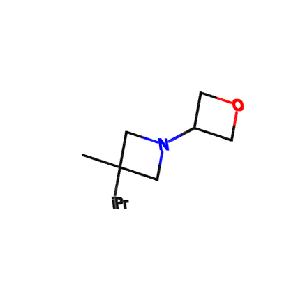 CC(C)C1(C)CN(C2COC2)C1